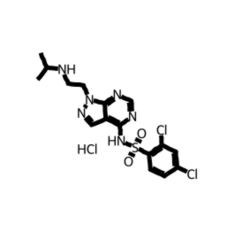 CC(C)NCCn1ncc2c(NS(=O)(=O)c3ccc(Cl)cc3Cl)ncnc21.Cl